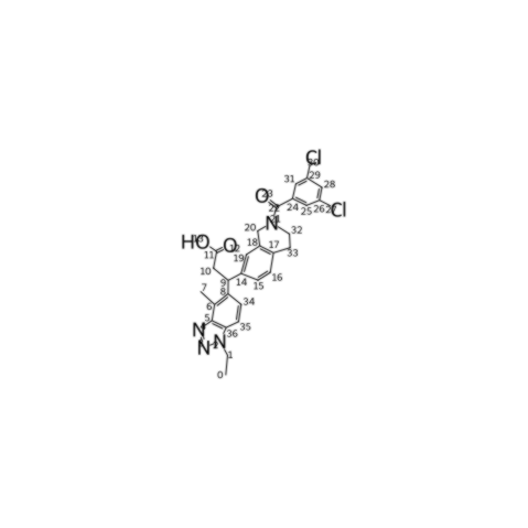 CCn1nnc2c(C)c(C(CC(=O)O)c3ccc4c(c3)CN(C(=O)c3cc(Cl)cc(Cl)c3)CC4)ccc21